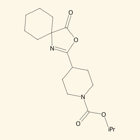 CC(C)OC(=O)N1CCC(C2=NC3(CCCCC3)C(=O)O2)CC1